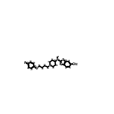 CN(c1nc2ccc(O)cc2s1)C1CCN(CCCCOc2ccc(F)cc2)CC1